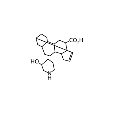 O=C(O)C1CC2C3CCC4CC3CCC2C2CC=C4C12.OC1CCCNC1